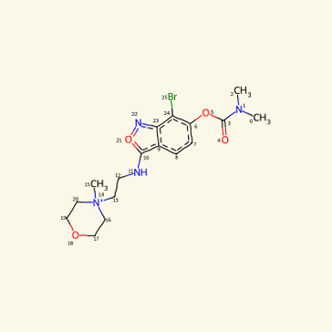 CN(C)C(=O)Oc1ccc2c(NCC[N+]3(C)CCOCC3)onc2c1Br